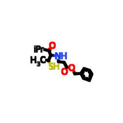 CC(C)C(=O)C(NCCC(=O)OCc1ccccc1)C(C)S